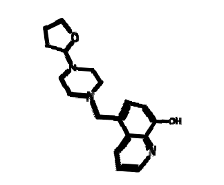 Oc1ccc(CN2CCN(C3CCCO3)CC2)c2cccnc12